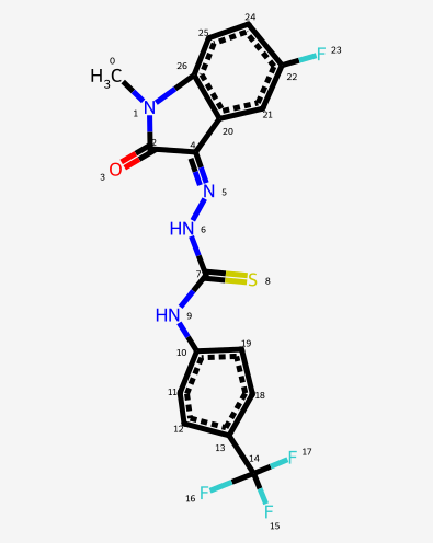 CN1C(=O)/C(=N\NC(=S)Nc2ccc(C(F)(F)F)cc2)c2cc(F)ccc21